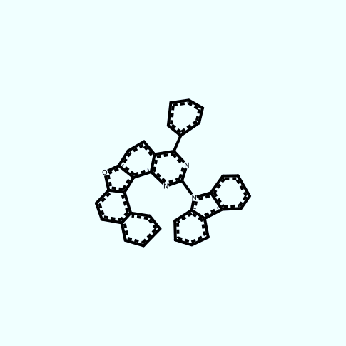 c1ccc(-c2nc(-n3c4ccccc4c4ccccc43)nc3c2ccc2oc4ccc5ccccc5c4c23)cc1